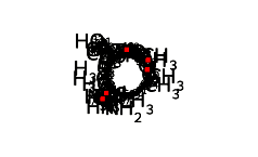 CO[C@H]1C[C@@H]2CC[C@@H](C)[C@@](O)(O2)C(=O)C(=O)N2CCCC[C@H]2C(=O)O[C@H]([C@H](C)C[C@@H]2CC[C@@H](O)[C@H](OC)C2)CC(=O)[C@H](C)/C=C(\C)[C@@H](O)[C@@H](OC)C(=O)[C@H](C)C[C@H](C)/C=C/C=C/C=C/1C.NNC(=O)c1ccncc1